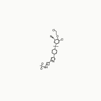 CC(C)(c1ccc(-c2cnn(C34CC(NS(C)(=O)=O)(C3)C4)c2)cc1)c1cc(Cl)c(OCCCl)c(C#N)c1